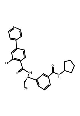 CCc1cc(-c2ccncc2)ccc1C(=O)N[C@H](CO)c1cccc(C(=O)NC2CCCC2)c1